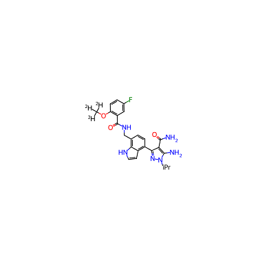 [2H]C([2H])([2H])Oc1ccc(F)cc1C(=O)NCc1ccc(-c2nn(C(C)C)c(N)c2C(N)=O)c2cc[nH]c12